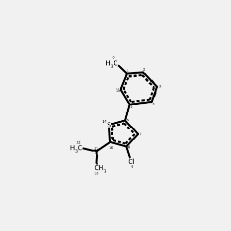 Cc1cccc(-c2cc(Cl)c(C(C)C)s2)c1